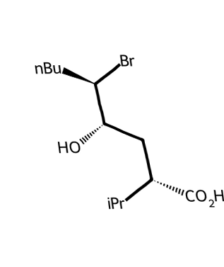 CCCC[C@@H](Br)[C@@H](O)C[C@H](C(=O)O)C(C)C